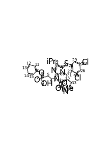 COC(=O)N(CCP(=O)(O)Oc1ccccc1)c1nc(C(C)C)c(Sc2cc(Cl)cc(Cl)c2)n1Cc1ccncc1